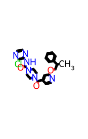 CC(COc1cc(C(=O)N2CCN(C(=O)Nc3nccnc3Cl)CC2)ccn1)c1ccccc1